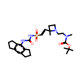 CN(CCN1CCC1(C)/C=C/S(=O)(=O)NC(=O)Nc1c2c(cc3c1CCC3)CCC2)C(=O)OC(C)(C)C